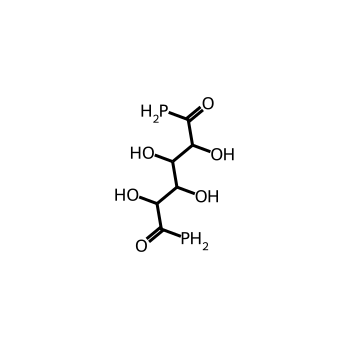 O=C(P)C(O)C(O)C(O)C(O)C(=O)P